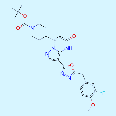 COc1ccc(Cc2nnc(-c3cnn4c(C5CCN(C(=O)OC(C)(C)C)CC5)cc(=O)[nH]c34)o2)cc1F